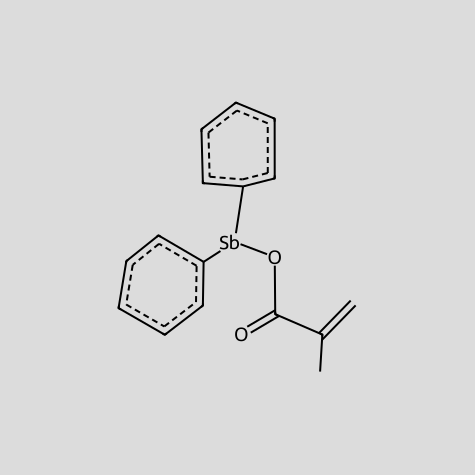 C=C(C)C(=O)[O][Sb]([c]1ccccc1)[c]1ccccc1